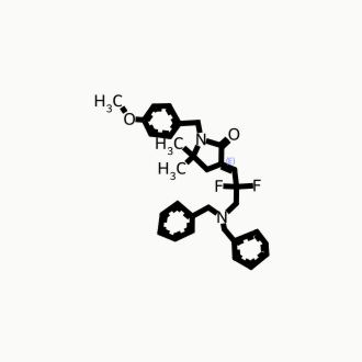 COc1ccc(CN2C(=O)/C(=C/C(F)(F)CN(Cc3ccccc3)Cc3ccccc3)CC2(C)C)cc1